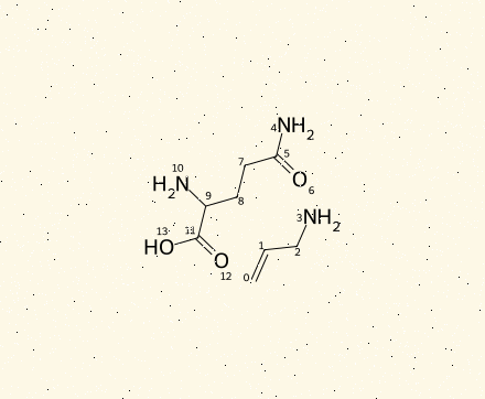 C=CCN.NC(=O)CCC(N)C(=O)O